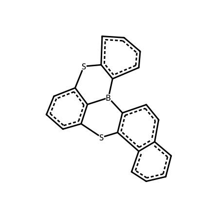 c1ccc2c(c1)Sc1cccc3c1B2c1ccc2ccccc2c1S3